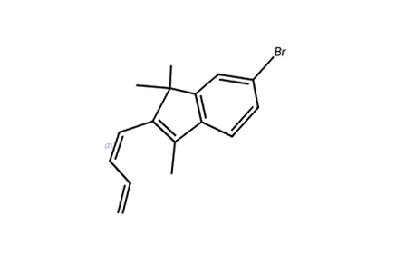 C=C/C=C\C1=C(C)c2ccc(Br)cc2C1(C)C